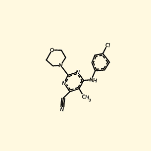 Cc1c(C#N)nc(N2CCOCC2)nc1Nc1ccc(Cl)cc1